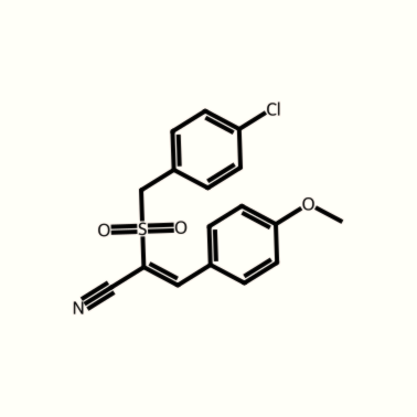 COc1ccc(C=C(C#N)S(=O)(=O)Cc2ccc(Cl)cc2)cc1